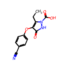 CCc1c(Oc2ccc(C#N)cc2)c(=O)[nH]n1C(=O)O